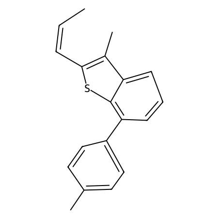 C/C=C\c1sc2c(-c3ccc(C)cc3)cccc2c1C